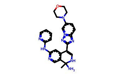 CC1(N)NC=C(c2nc3ccc(N4CCOCC4)cn3n2)c2cc(Nc3ccccn3)ncc21